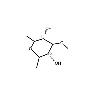 COC1[C@H](O)C(C)OC(C)[C@@H]1O